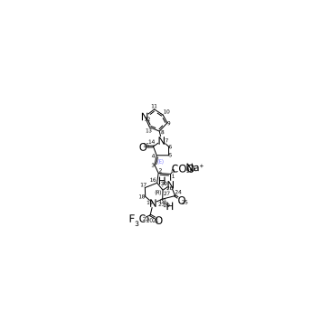 O=C([O-])C1=C(/C=C2\CCN(c3cccnc3)C2=O)C2CCN(C(=O)C(F)(F)F)[C@@H]3C(=O)N1[C@H]23.[Na+]